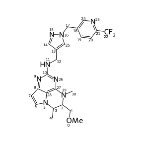 COCC1C(C)n2ccc3nc(NCc4cnn(Cc5ccc(C(F)(F)F)nc5)c4)nc(c32)N1C